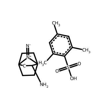 Cc1cc(C)c(S(=O)(=O)O)c(C)c1.[N-]=[N+]1C23CCC1(CC2)C(N)C3